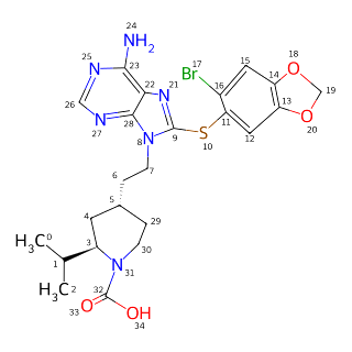 CC(C)[C@H]1C[C@H](CCn2c(Sc3cc4c(cc3Br)OCO4)nc3c(N)ncnc32)CCN1C(=O)O